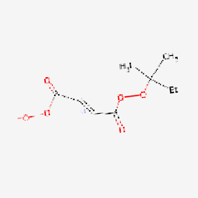 CCC(C)(C)OOC(=O)/C=C/C(=O)OO